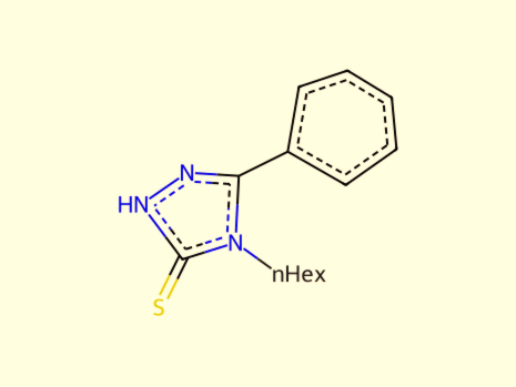 CCCCCCn1c(-c2ccccc2)n[nH]c1=S